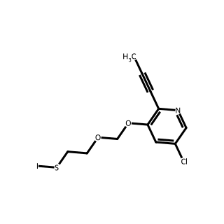 CC#Cc1ncc(Cl)cc1OCOCCSI